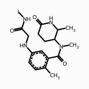 Cc1ccc(NCC(=O)NI)cc1C(=O)N(C)C1CCC(=O)NC1C